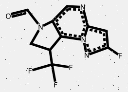 O=CN1CC(C(F)(F)F)c2c1cnc1cc(F)nn21